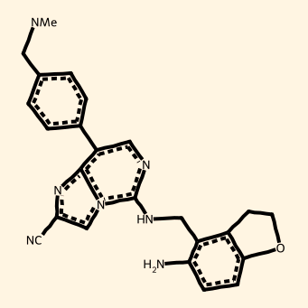 CNCc1ccc(-c2cnc(NCc3c(N)ccc4c3CCO4)n3cc(C#N)nc23)cc1